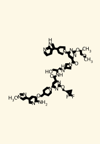 COC[C@@H](C)Oc1nc(C(=O)N2CC(NC[C@H](CO)NC(=O)c3cc(N4CCC(COc5cc(-c6cn(C)cn6)cnc5N)CC4)nc(OC[C@H]4CC4(F)F)n3)C2)cc(N2CCC(c3c[nH]c4ncccc34)CC2)n1